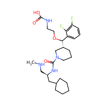 CNC[C@H](CC1CCCCC1)NC(=O)N1CCC[C@@H](C(OCCNC(=O)O)c2cccc(F)c2F)C1